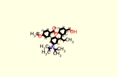 CCC(c1cccc(N(C(C)C)C(C)C)c1)c1cc(CO)ccc1OC(=O)c1ccc(OC)cc1